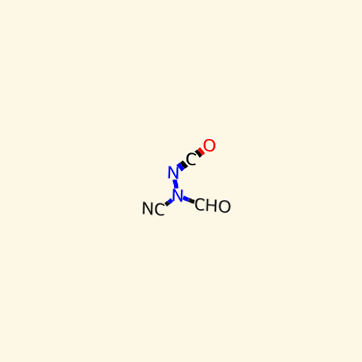 N#CN(C=O)N=C=O